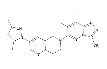 Cc1cc(C)n(-c2cnc3c(c2)CN(c2nn4c(C(F)(F)F)nnc4c(C)c2C)CC3)n1